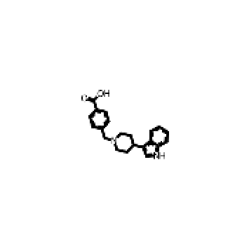 O=C(O)c1ccc(CN2CCC(c3c[nH]c4ccccc34)CC2)cc1